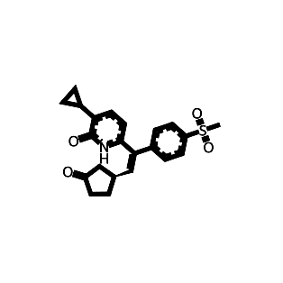 CS(=O)(=O)c1ccc(/C(=C/[C@H]2CCC(=O)C2)c2ccc(C3CC3)c(=O)[nH]2)cc1